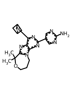 CC1(C)OCCCn2c1nc1c(N3CC4CC3C4)nc(-c3cnc(N)nc3)nc12